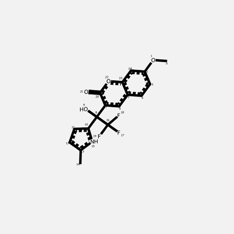 COc1ccc2cc(C(O)(c3ccc(C)[nH]3)C(F)(F)F)c(=O)oc2c1